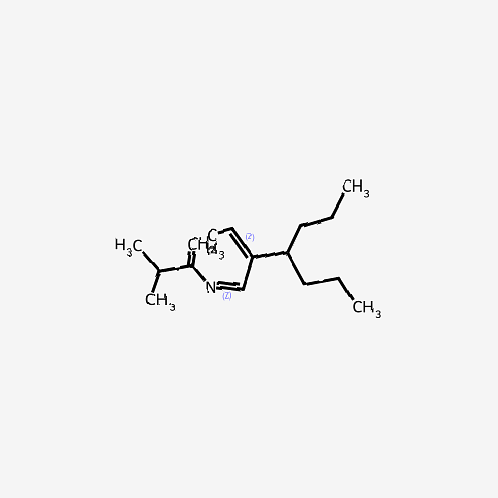 C=C(/N=C\C(=C/C)C(CCC)CCC)C(C)C